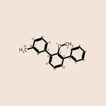 COc1c(-c2ccccc2)cccc1-c1cccc(C)c1